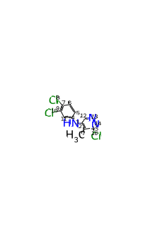 Cc1c(Nc2ccc(Cl)c(Cl)c2)cnnc1Cl